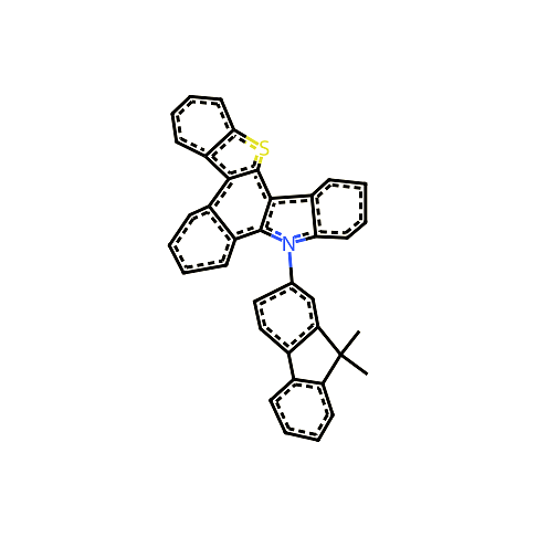 CC1(C)c2ccccc2-c2ccc(-n3c4ccccc4c4c5sc6ccccc6c5c5ccccc5c43)cc21